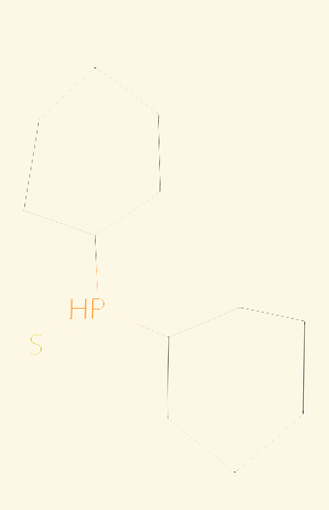 S=[PH](C1CCCCC1)C1CCCCC1